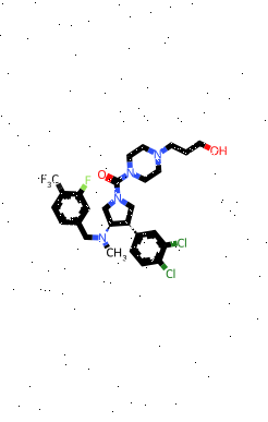 CN(Cc1ccc(C(F)(F)F)c(F)c1)[C@@H]1CN(C(=O)N2CCN(CCCO)CC2)C[C@@H]1c1ccc(Cl)c(Cl)c1